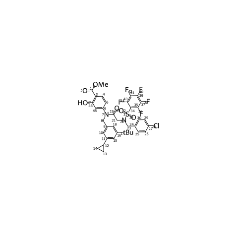 COC(=O)c1ccc(N(Cc2cc(C3CC3)cc(C(C)(C)C)c2)C(=O)CN(Cc2ccc(Cl)cc2)S(=O)(=O)c2c(F)c(F)c(F)c(F)c2F)cc1O